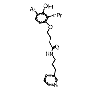 CCCc1c(OCCCC(=O)NCCCc2cccnc2)ccc(C(C)=O)c1O